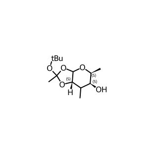 CC1[C@@H]2OC(C)(OC(C)(C)C)OC2O[C@@H](C)[C@H]1O